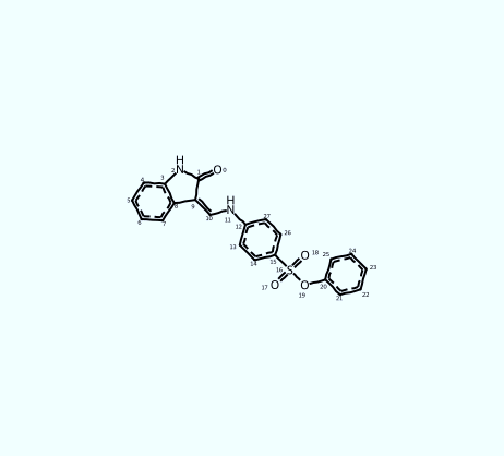 O=C1Nc2ccccc2C1=CNc1ccc(S(=O)(=O)Oc2ccccc2)cc1